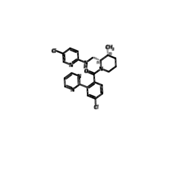 C[C@@H]1CCCN(C(=O)c2ccc(Cl)cc2-c2ncccn2)[C@@H]1CNc1ccc(Cl)cn1